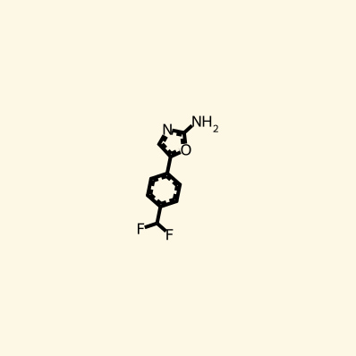 Nc1ncc(-c2ccc(C(F)F)cc2)o1